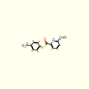 O=Cc1cccc(C(=O)Sc2ccc([N+](=O)[O-])cc2)n1